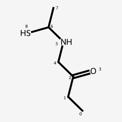 CCC(=O)CNC(C)S